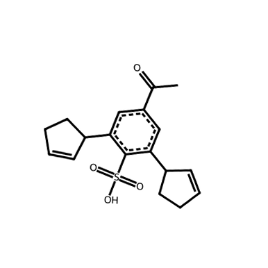 CC(=O)c1cc(C2C=CCC2)c(S(=O)(=O)O)c(C2C=CCC2)c1